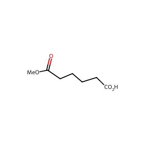 [CH2]OC(=O)CCCCC(=O)O